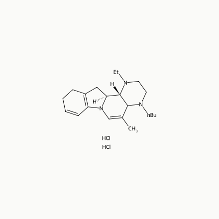 CCCCN1CCN(CC)[C@@H]2C1C(C)=CN1C3=C(CCC=C3)C[C@@H]21.Cl.Cl